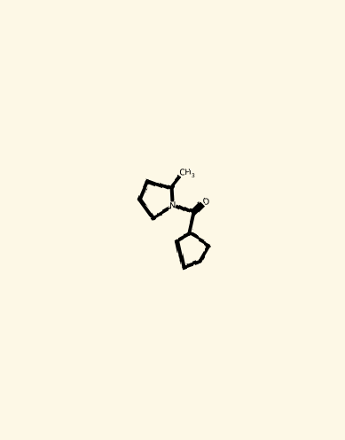 CC1CCCN1C(=O)C1CCCC1